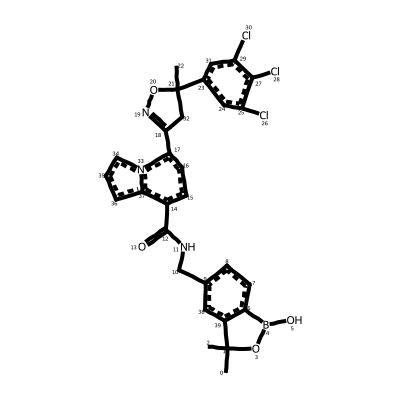 CC1(C)OB(O)c2ccc(CNC(=O)c3ccc(C4=NOC(C)(c5cc(Cl)c(Cl)c(Cl)c5)C4)n4cccc34)cc21